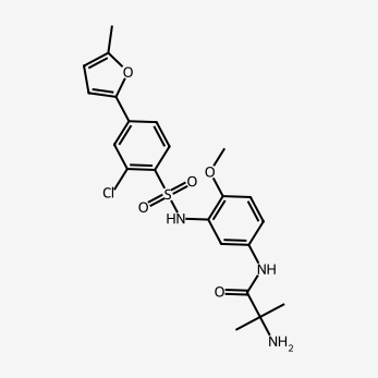 COc1ccc(NC(=O)C(C)(C)N)cc1NS(=O)(=O)c1ccc(-c2ccc(C)o2)cc1Cl